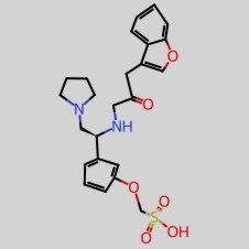 O=C(CN[C@H](CN1CCCC1)c1cccc(OCS(=O)(=O)O)c1)Cc1coc2ccccc12